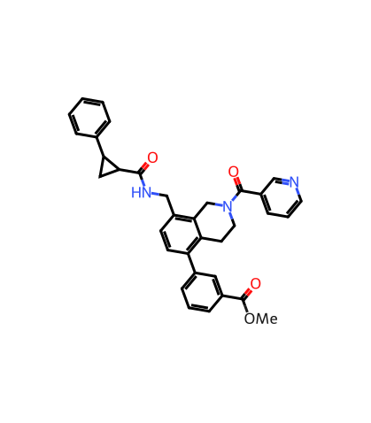 COC(=O)c1cccc(-c2ccc(CNC(=O)C3CC3c3ccccc3)c3c2CCN(C(=O)c2cccnc2)C3)c1